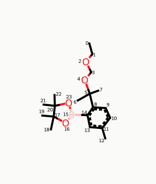 CCOCOC(C)(C)c1ccc(C)cc1B1OC(C)(C)C(C)(C)O1